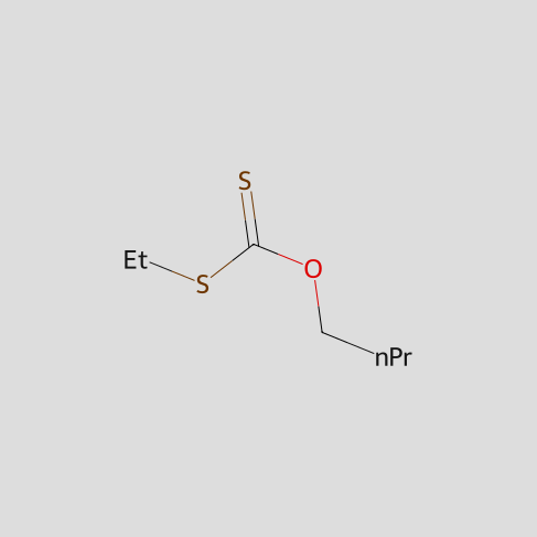 CCCCOC(=S)SCC